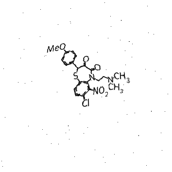 COc1ccc(C2Sc3ccc(Cl)c([N+](=O)[O-])c3N(CCN(C)C)C(=O)C2=O)cc1